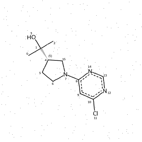 CC(C)(O)[C@H]1CCN(c2cc(Cl)ncn2)C1